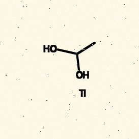 CC(O)O.[Ti]